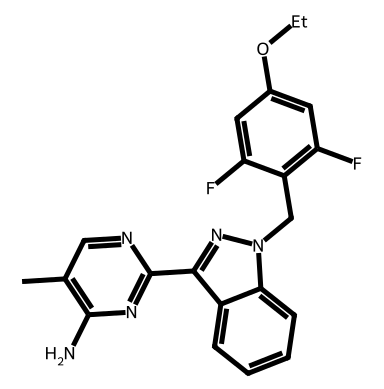 CCOc1cc(F)c(Cn2nc(-c3ncc(C)c(N)n3)c3ccccc32)c(F)c1